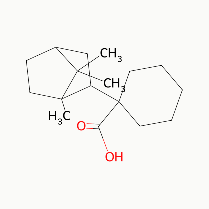 CC1(C)C2CCC1(C)C(C1(C(=O)O)CCCCC1)C2